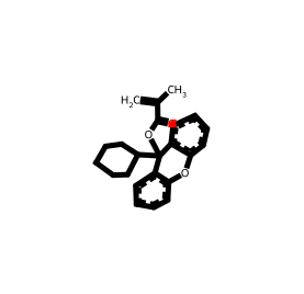 C=C(C)C(=O)OC1(C2CCCCC2)c2ccccc2Oc2ccccc21